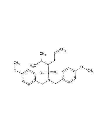 C=CCC(C(C)C)S(=O)(=O)N(Cc1ccc(OC)cc1)Cc1ccc(OC)cc1